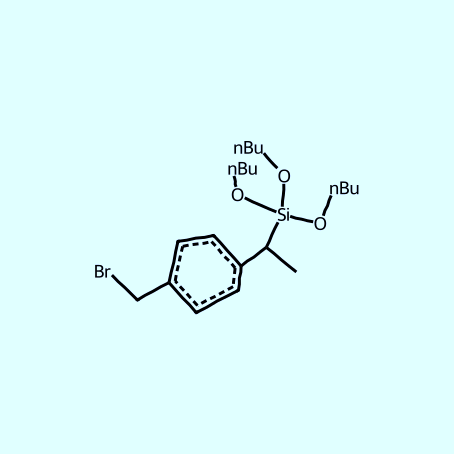 CCCCO[Si](OCCCC)(OCCCC)C(C)c1ccc(CBr)cc1